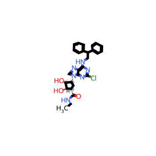 CCNC(=O)[C@H]1C[C@@H](n2cnc3c(NCC(c4ccccc4)c4ccccc4)nc(Cl)nc32)[C@H](O)[C@@H]1O